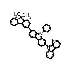 CC1(C)c2ccccc2-c2cc(-c3ccc4c5ccc(-n6c7ccccc7c7cccnc76)cc5n(-c5ccccc5)c4c3)ccc21